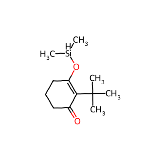 C[SiH](C)OC1=C(C(C)(C)C)C(=O)CCC1